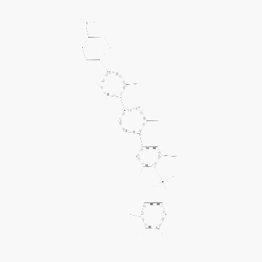 CCCCCC1CCC(c2ccc(-c3ccc(-c4cc(F)c(C(F)(F)Oc5cc(F)c(F)c(F)c5)c(F)c4)c(F)c3)c(F)c2)CC1